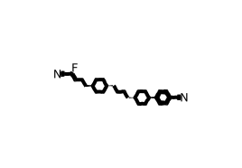 N#CC(F)=CCC[C@H]1CC[C@H](CCCC[C@H]2CC[C@H](c3ccc(C#N)cc3)CC2)CC1